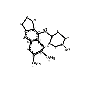 CCN1CCC(Nc2c3c(nc4cc(OC)c(OC)nc24)CCC3)CC1